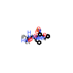 CCNC(=O)[C@@H](NC(=O)[C@H](C)NC[C@H](CC1CCCCC1)NC(=O)c1cc(C(=O)N[C@H](C)c2ccccc2)cc(N(C)S(C)(=O)=O)c1)C(C)C